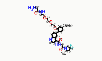 COc1ccc(-c2ccc3nccc(C(=O)NCC(=O)N4CC(F)(F)C[C@H]4C#N)c3c2)c(OCCOCCOCCNC(=O)CN)c1